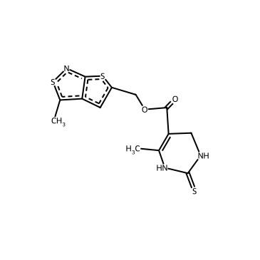 CC1=C(C(=O)OCc2cc3c(C)snc3s2)CNC(=S)N1